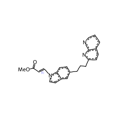 COC(=O)/C=C/n1ccc2cc(CCCc3ccc4cccnc4n3)ccc21